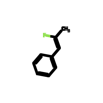 C/C(F)=C/c1ccccc1